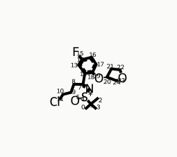 CC(C)(C)[S@+]([O-])N=C(CCCCl)c1cc(F)ccc1O[C@@H]1CCOC1